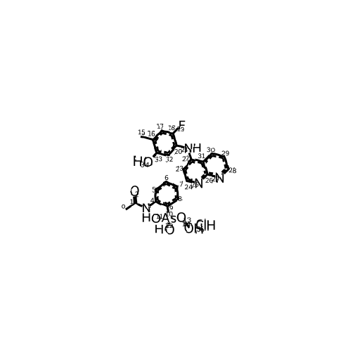 CC(=O)Nc1ccccc1[As](=O)(O)OO.Cc1cc(F)c(Nc2ccnc3ncccc23)cc1O.Cl